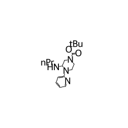 CCCNC1CN(C(=O)OC(C)(C)C)CCN1c1ccccn1